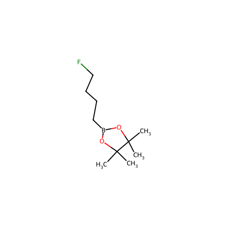 CC1(C)OB(CCCCF)OC1(C)C